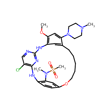 COc1cc(N2CCN(C)CC2)c2cc1Nc1ncc(Cl)c(n1)Nc1ccc(cc1N(C)S(C)(=O)=O)OCCCCC2